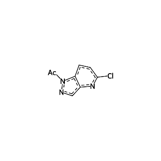 CC(=O)n1ncc2nc(Cl)ccc21